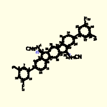 [C-]#[N+]/N=c1\c2cc(-c3cc(C)cc(F)c3)ccc2c2cc3/c(=N/C#N)c4cc(-c5cc(C)cc(F)c5)ccc4c3cc12